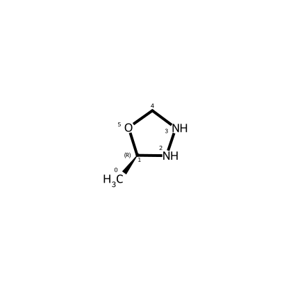 C[C@@H]1NNCO1